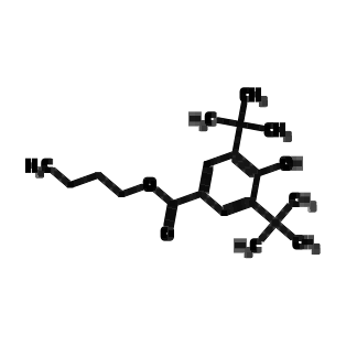 CCCCOC(=O)c1cc(C(C)(C)C)c(O)c(C(C)(C)C)c1